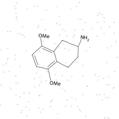 COc1ccc(OC)c2c1CCC(N)C2